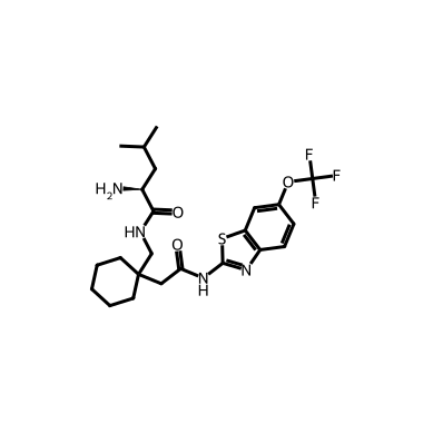 CC(C)C[C@H](N)C(=O)NCC1(CC(=O)Nc2nc3ccc(OC(F)(F)F)cc3s2)CCCCC1